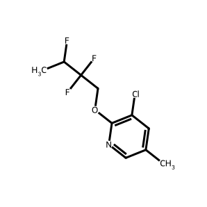 Cc1cnc(OCC(F)(F)C(C)F)c(Cl)c1